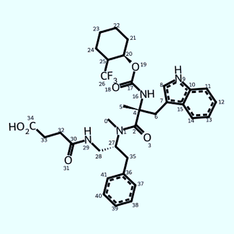 CN(C(=O)[C@@](C)(Cc1c[nH]c2ccccc12)NC(=O)O[C@@H]1CCCCC1C(F)(F)F)[C@@H](CNC(=O)CCC(=O)O)Cc1ccccc1